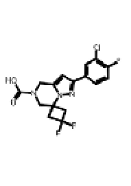 O=C(O)N1Cc2cc(-c3ccc(F)c(Cl)c3)nn2C2(C1)CC(F)(F)C2